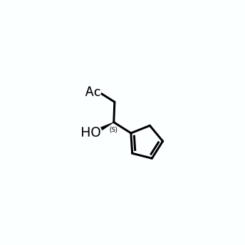 CC(=O)C[C@H](O)C1=CC=CC1